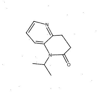 CC(C)N1C(=O)CCc2ncccc21